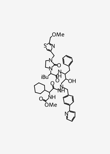 CCC(C)C(C(=O)NC(Cc1ccccc1)C(O)CN(Cc1ccc(-c2ccccn2)cc1)NC(=O)C(NC(=O)OC)C1CCCCC1)N1CCN(Cc2csc(COC)n2)C1=O